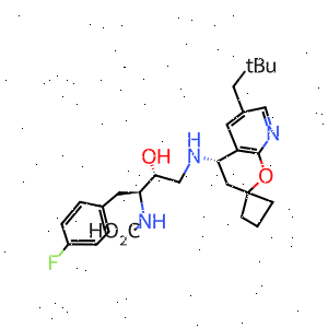 CC(C)(C)Cc1cnc2c(c1)[C@@H](NC[C@@H](O)[C@H](Cc1ccc(F)cc1)NC(=O)O)CC1(CCC1)O2